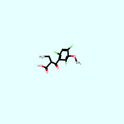 CCC(C(=O)O)C(=O)c1c(F)cc(F)c(OC)c1F